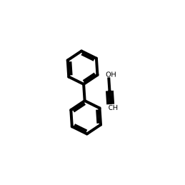 C#CO.c1ccc(-c2ccccc2)cc1